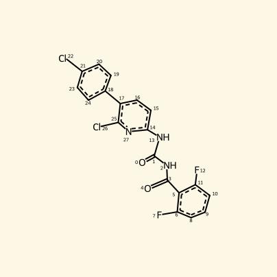 O=C(NC(=O)c1c(F)cccc1F)Nc1ccc(-c2ccc(Cl)cc2)c(Cl)n1